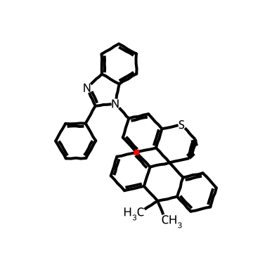 CC1(C)c2ccccc2C2(c3ccccc3Sc3cc(-n4c(-c5ccccc5)nc5ccccc54)ccc32)c2ccccc21